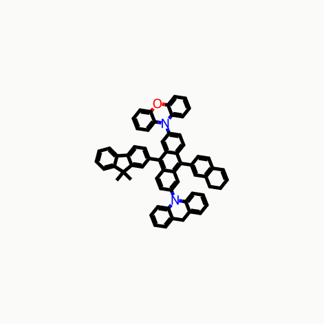 CC1(C)c2ccccc2-c2ccc(-c3c4ccc(N5c6ccccc6Cc6ccccc65)cc4c(-c4ccc5c(c4)CCC=C5)c4ccc(N5c6ccccc6Oc6ccccc65)cc34)cc21